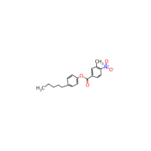 CCCCCc1ccc(OC(=O)c2ccc([N+](=O)[O-])c(C)c2)cc1